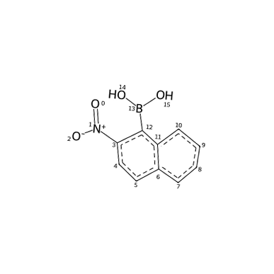 O=[N+]([O-])c1ccc2ccccc2c1B(O)O